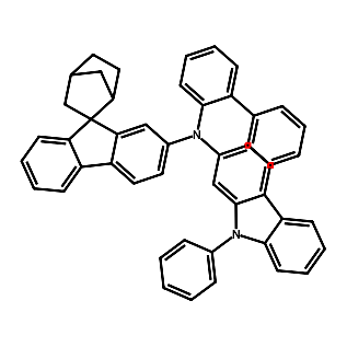 c1ccc(-c2ccccc2N(c2ccc3c(c2)C2(CC4CCC2C4)c2ccccc2-3)c2ccc3c4ccccc4n(-c4ccccc4)c3c2)cc1